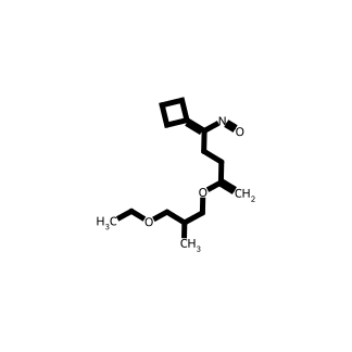 C=C(CCC(N=O)=C1CCC1)OCC(C)COCC